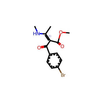 CN/C(C)=C(/C(=O)OC)C(=O)c1ccc(Br)cc1